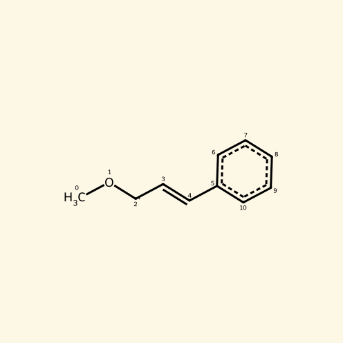 CO[CH]C=Cc1ccccc1